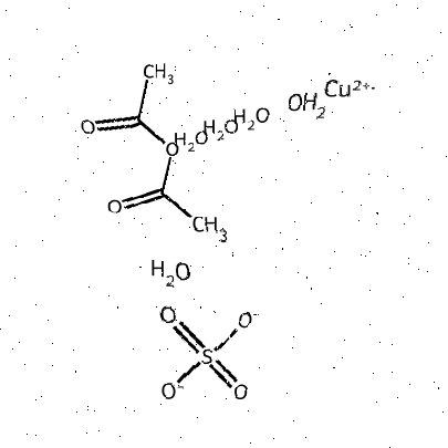 CC(=O)OC(C)=O.O.O.O.O.O.O=S(=O)([O-])[O-].[Cu+2]